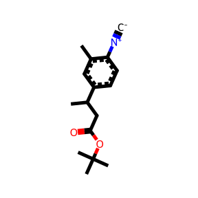 [C-]#[N+]c1ccc(C(C)CC(=O)OC(C)(C)C)cc1C